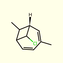 CC1=C[C@H]2C(C)C(C=C1)C2Cl